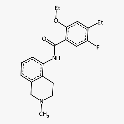 CCOc1cc(CC)c(F)cc1C(=O)Nc1cccc2c1CCN(C)C2